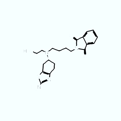 CCCN(CCCCN1C(=O)c2ccccc2C1=O)[C@H]1CCc2nc(N)sc2C1